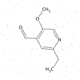 CCc1cc(C=O)c(OC)cn1